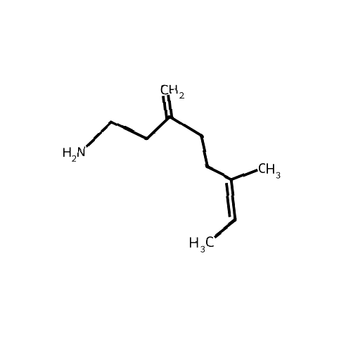 C=C(CCN)CC/C(C)=C\C